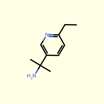 CCc1ccc(C(C)(C)N)cn1